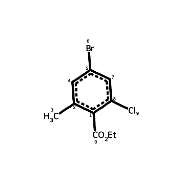 CCOC(=O)c1c(C)cc(Br)cc1Cl